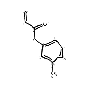 C=CC(=O)Cc1cccc(C(F)(F)F)c1